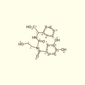 O=C(O)C(NC(=O)N(CCO)C(=O)c1ccc(O)c(O)c1)c1ccccc1